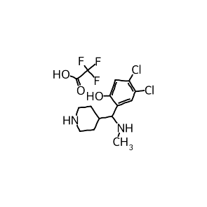 CNC(c1cc(Cl)c(Cl)cc1O)C1CCNCC1.O=C(O)C(F)(F)F